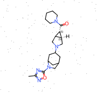 Cc1noc(N2CC3CC(N4CC5[C@H](C4)[C@H]5C(=O)N4CCCCC4)CC2C3)n1